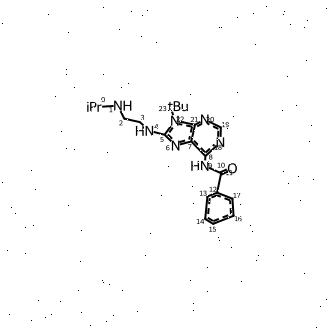 CC(C)NCCNc1nc2c(NC(=O)c3ccccc3)ncnc2n1C(C)(C)C